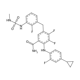 CNS(=O)(=O)Nc1cccc(Cc2cc(C(N)=O)c(Nc3ccc(C4CC4)cc3F)c(F)c2F)c1F